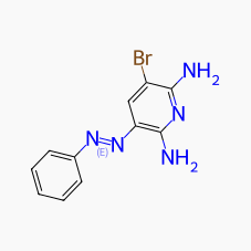 Nc1nc(N)c(/N=N/c2ccccc2)cc1Br